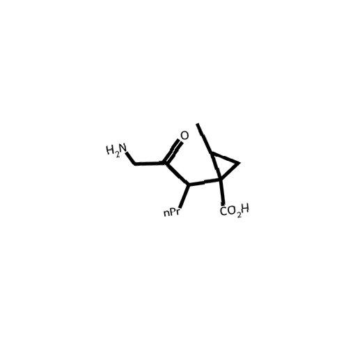 CCCC(C(=O)CN)C1(C(=O)O)CC1C